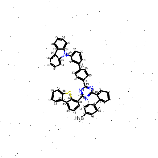 Bc1ccc(-c2ccccc2-c2nc(-c3ccc(-c4cccc(-n5c6ccccc6c6ccccc65)c4)cc3)nc(-c3cccc4c3sc3ccccc34)n2)cc1